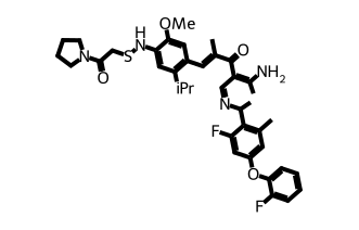 COc1cc(/C=C(\C)C(=O)C(/C=N\C(C)c2c(C)cc(Oc3ccccc3F)cc2F)=C(/C)N)c(C(C)C)cc1NSCC(=O)N1CCCC1